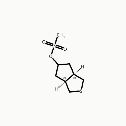 CS(=O)(=O)OC1C[C@H]2CSC[C@H]2C1